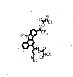 CCOCC/C(=N\OC(=O)N(CC)CC)c1cc2c3cc(/C(=N/OC(=O)N(CC)CC)C(F)(F)F)ccc3n(C(C)C)c2c2ccccc12